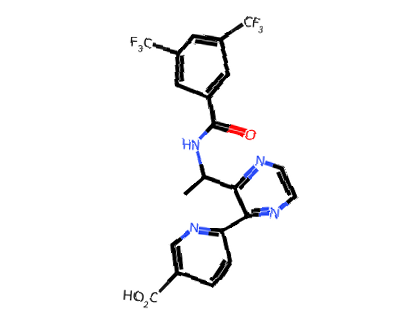 CC(NC(=O)c1cc(C(F)(F)F)cc(C(F)(F)F)c1)c1nccnc1-c1ccc(C(=O)O)cn1